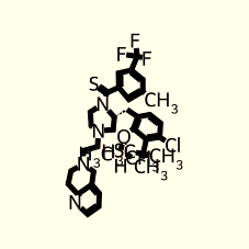 Cc1cc(C(=S)N2CCN(CCN3CCc4ncccc4C3)C[C@H]2Cc2ccc(Cl)c(C(C)(C)C)c2O[SiH](C)C)cc(C(F)(F)F)c1